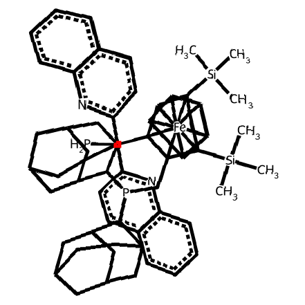 C[Si](C)(C)[C]12[CH]3[C]4(C(P)(c5ccc6ccccc6n5)c5ccc6ccccc6n5)[C]5(CP(C6C7CC8CC(C7)CC6C8)C6C7CC8CC(C7)CC6C8)[C]1([Si](C)(C)C)[Fe]35421678[CH]2[CH]1[CH]6[CH]7[CH]28